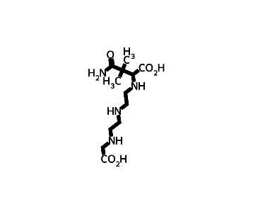 CC(C)(C(N)=O)C(NCCNCCNCC(=O)O)C(=O)O